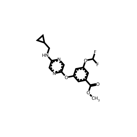 COC(=O)c1cc(Oc2cnc(NCC3CC3)cn2)cc(OC(F)F)c1